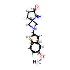 COc1ccc2sc(N3CC4(CCC(=O)N4)C3)cc2c1